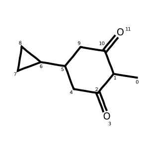 CC1C(=O)CC(C2CC2)CC1=O